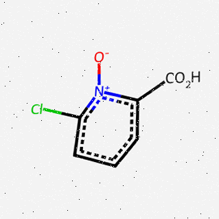 O=C(O)c1cccc(Cl)[n+]1[O-]